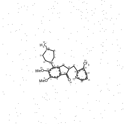 COc1cc2c(c(N3CCN(C)CC3)c1OC)CC(Cc1ncccc1C(F)(F)F)C2=O